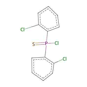 S=P(Cl)(c1ccccc1Cl)c1ccccc1Cl